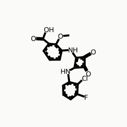 COc1c(Nc2c(Nc3cccc(F)c3Cl)c(=O)c2=O)cccc1C(=O)O